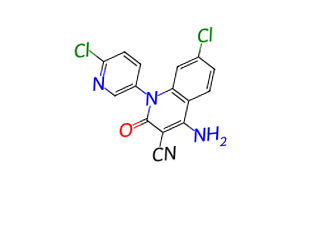 N#Cc1c(N)c2ccc(Cl)cc2n(-c2ccc(Cl)nc2)c1=O